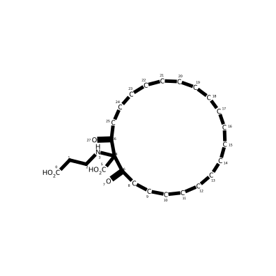 O=C(O)CCNC1(C(=O)O)C(=O)CCCCCCCCCCCCCCCCCCC1=O